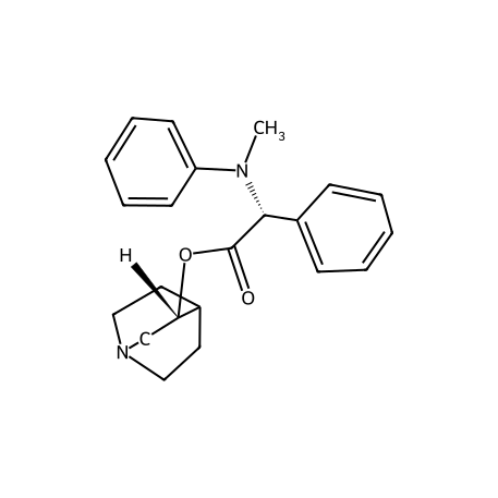 CN(c1ccccc1)[C@@H](C(=O)O[C@H]1CN2CCC1CC2)c1ccccc1